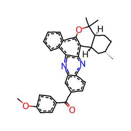 COc1ccc(C(=O)c2ccc3nc4c5c(c6ccccc6c4nc3c2)OC(C)(C)[C@H]2CC[C@H](C)C[C@H]52)cc1